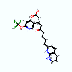 O=C(O)C[C@H](CC(=O)CCCCc1ccc2c(n1)NCCC2)c1ccc(OC(F)(F)F)nc1